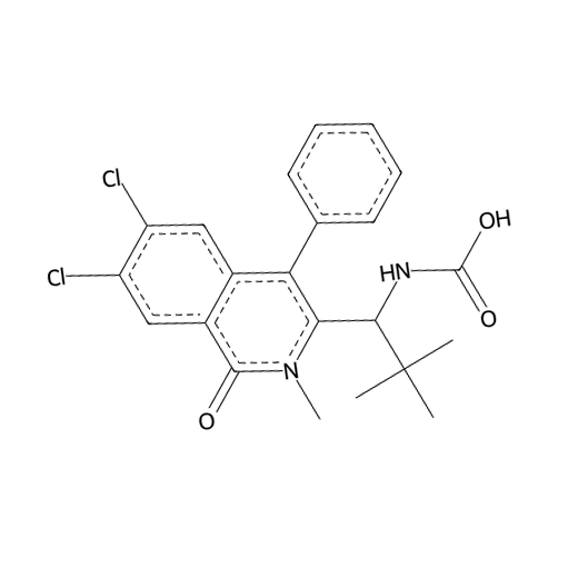 Cn1c(C(NC(=O)O)C(C)(C)C)c(-c2ccccc2)c2cc(Cl)c(Cl)cc2c1=O